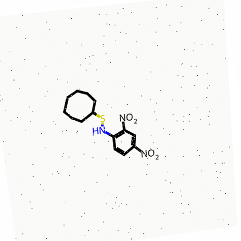 O=[N+]([O-])c1ccc(NSC2CCCCCCC2)c([N+](=O)[O-])c1